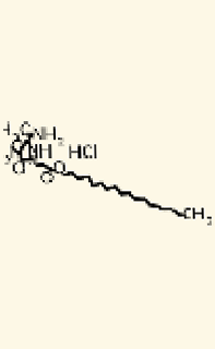 CCCCCCCCCCCCCCCCCCOC(=O)CC[C@@H](NC(=O)[C@H](C)N)C(N)=O.Cl